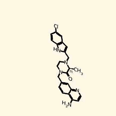 C[C@H]1C(=O)N(Cc2ccc3c(N)ccnc3c2)CCN1Cc1cc2cc(Cl)ccc2[nH]1